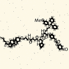 COc1ccc(N(CCCC[C@H](NC(=O)C[C@H](Cc2ccc(F)cc2)NC(=O)CCC(=O)NCCCO[C@H]2CC[C@@]3(C)C(=CC[C@H]4[C@@H]5CC[C@H]([C@H](C)CCCC(C)C)[C@@]5(C)CC[C@@H]43)C2)C(=O)Nc2ccc(COC(=O)Oc3ccc([N+](=O)[O-])cc3)cc2)C(c2ccccc2)c2ccccc2)cc1